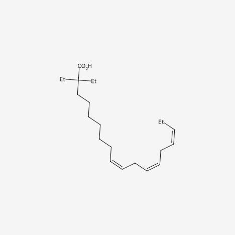 CC/C=C\C/C=C\C/C=C\CCCCCCC(CC)(CC)C(=O)O